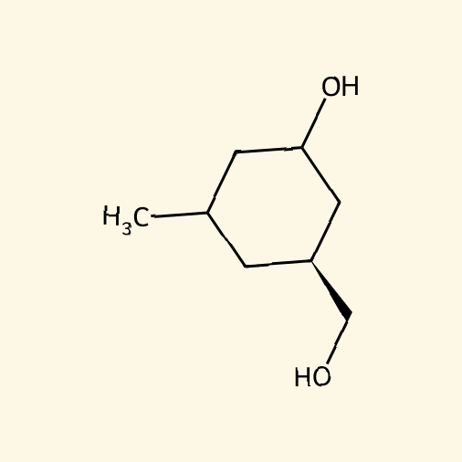 CC1CC(O)C[C@@H](CO)C1